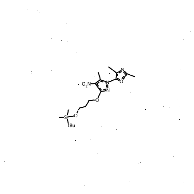 Cc1nc(C)c(-n2nc(OCCCO[Si](C)(C)C(C)(C)C)c([N+](=O)[O-])c2C)o1